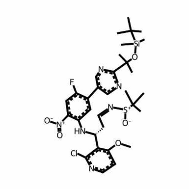 COc1ccnc(Cl)c1[C@@H](C/C=N\[S+]([O-])C(C)(C)C)Nc1cc(-c2cnc(C(C)(C)O[Si](C)(C)C(C)(C)C)nc2)c(F)cc1[N+](=O)[O-]